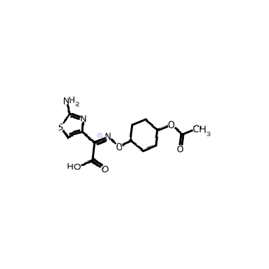 CC(=O)OC1CCC(O/N=C(\C(=O)O)c2csc(N)n2)CC1